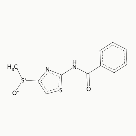 C[S+]([O-])c1csc(NC(=O)c2ccccc2)n1